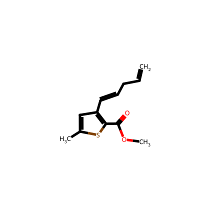 C=CC/C=C/c1cc(C)sc1C(=O)OC